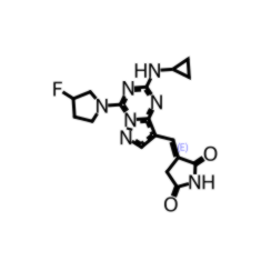 O=C1C/C(=C\c2cnn3c(N4CCC(F)C4)nc(NC4CC4)nc23)C(=O)N1